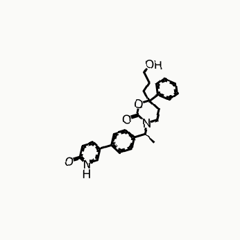 C[C@@H](c1ccc(-c2ccc(=O)[nH]c2)cc1)N1CCC(CCCO)(c2ccccc2)OC1=O